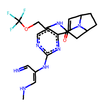 CN/C=C(\C=N)Nc1nccc(C2=CC3CCC(C2)N3C(=O)NCCOC(F)(F)F)n1